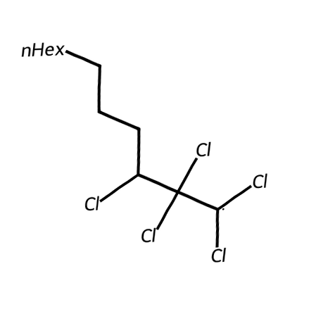 CCCCCCCCCC(Cl)C(Cl)(Cl)[C](Cl)Cl